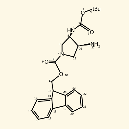 CC(C)(C)OC(=O)N[C@@H]1CN(C(=O)OCC2c3ccccc3-c3ccccc32)C[C@@H]1N